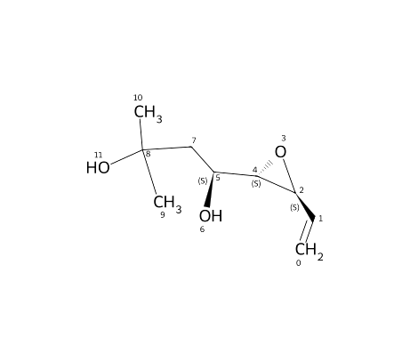 C=C[C@@H]1O[C@H]1[C@@H](O)CC(C)(C)O